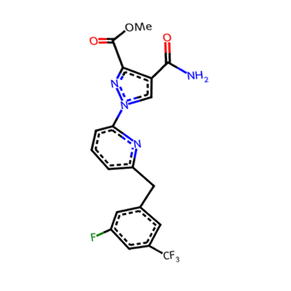 COC(=O)c1nn(-c2cccc(Cc3cc(F)cc(C(F)(F)F)c3)n2)cc1C(N)=O